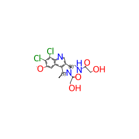 COc1cc2c3c(cnc2c(Cl)c1Cl)[C@H](CNC(=O)CO)N(C(=O)CO)[C@H]3C